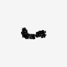 CCCCOn1c(C(=O)N2CCSC2=S)ccc(OCCCN(CCCOc2ccc(C(=O)N3CCSC3=S)n(OCCCC)c2=O)C(=O)C=O)c1=O